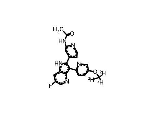 [2H]C([2H])([2H])Oc1ccc(-c2c(-c3ccnc(NC(C)=O)c3)[nH]c3cc(F)cnc23)nc1